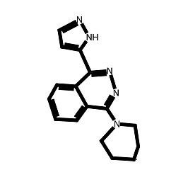 [CH]1CCN(c2nnc(-c3ccn[nH]3)c3ccccc23)CC1